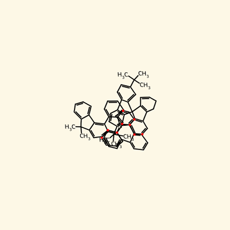 CC(C)(C)c1ccc2c(c1)C1(C3=C(CCC=C3)c3cccc(N(c4ccccc4-c4ccccc4-c4ccccc4-c4ccccc4)c4ccccc4-c4cccc5c4-c4ccccc4C5(C)C)c31)c1cc(C(C)(C)C)ccc1-2